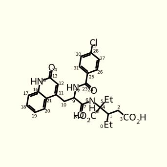 CCC(CC(=O)O)C(CC)(NC(=O)C(Cc1cc(=O)[nH]c2ccccc12)NC(=O)c1ccc(Cl)cc1)C(=O)O